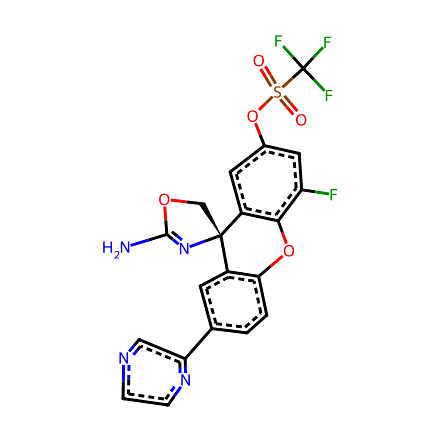 NC1=N[C@@]2(CO1)c1cc(-c3cnccn3)ccc1Oc1c(F)cc(OS(=O)(=O)C(F)(F)F)cc12